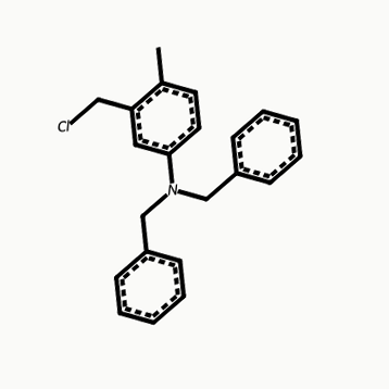 Cc1ccc(N(Cc2ccccc2)Cc2ccccc2)cc1CCl